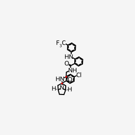 O=C(CNC(=O)c1ccccc1Nc1cccc(C(F)(F)F)c1)N[C@H]1C[C@H]2CC[C@@H](C1)N2Cc1ccc(Cl)cc1